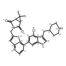 CC1(C)C2C(=O)N(Cc3cc4nccc(-c5cc(Cl)c6c(CC7CCNCC7)csc6c5)c4s3)C(=O)C21